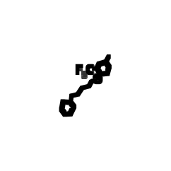 Cc1ccc(OCCCCCc2ccccc2)c(C(F)(F)F)c1